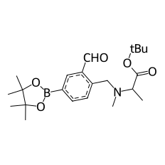 CC(C(=O)OC(C)(C)C)N(C)Cc1ccc(B2OC(C)(C)C(C)(C)O2)cc1C=O